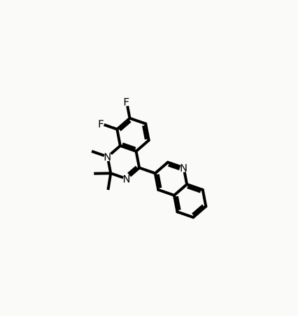 CN1c2c(ccc(F)c2F)C(c2cnc3ccccc3c2)=NC1(C)C